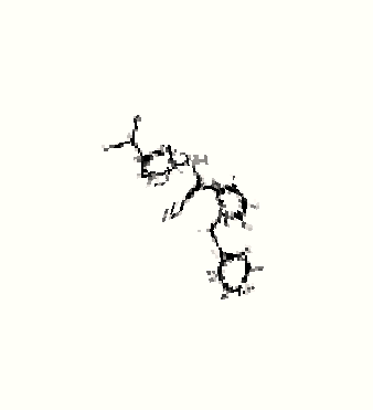 CC(C)c1coc(NC(=O)c2cccn2Cc2ccncc2)n1